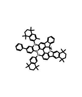 Cc1cc2c(cc1N1c3cc(-c4ccccc4)ccc3B3c4c1cc1c5c4-c4c(ccc6c4[SH](c4cc7c(cc4-6)C(C)(C)CCC7(C)C)C5(C)c4ccccc4-1)N3c1ccc3c(c1)C(C)(C)CCC3(C)C)C(C)(C)CCC2(C)C